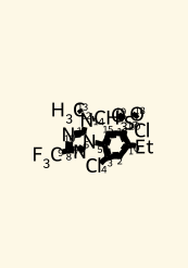 CCc1cc(Cl)c(-n2nc(C(F)(F)F)nc2N(C)C)cc1S(=O)(=O)Cl